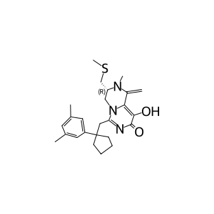 C=C1c2c(O)c(=O)nc(CC3(c4cc(C)cc(C)c4)CCCC3)n2C[C@H](CSC)N1C